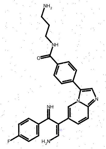 N=C(/C(=C\N)c1ccc2ncc(-c3ccc(C(=O)NCCCN)cc3)n2c1)c1ccc(F)cc1